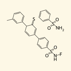 Cc1cccc(C2C=CC(c3ccc(S(=O)(=O)NF)cc3)=CC2=S)c1.NS(=O)(=O)c1ccccc1